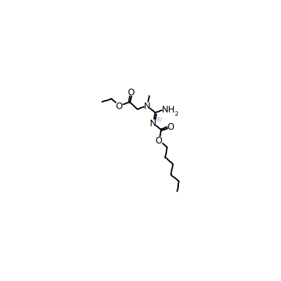 CCCCCCOC(=O)/N=C(\N)N(C)CC(=O)OCC